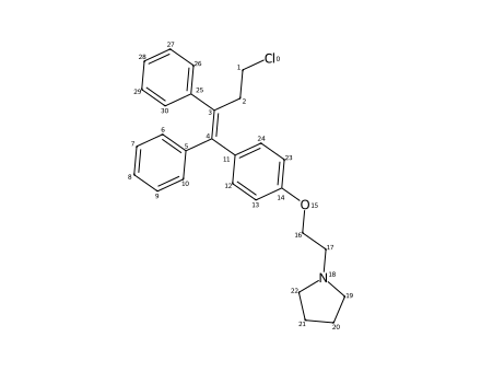 ClCCC(=C(c1ccccc1)c1ccc(OCCN2CCCC2)cc1)c1ccccc1